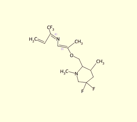 C=C/C(=N\C=C(/C)OCC1C(C)CC(F)(F)CN1C)C(F)(F)F